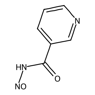 O=NNC(=O)c1cccnc1